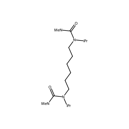 CNC(=O)N(CCCCCCN(C(=O)NC)C(C)C)C(C)C